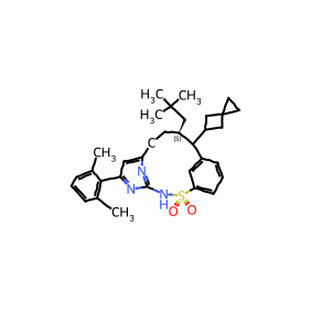 Cc1cccc(C)c1-c1cc2nc(n1)NS(=O)(=O)c1cccc(c1)C(C1CC3(CC3)C1)[C@H](CC(C)(C)C)CC2